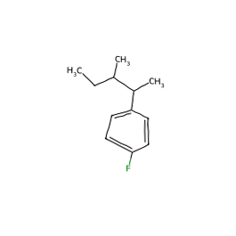 CCC(C)C(C)c1ccc(F)cc1